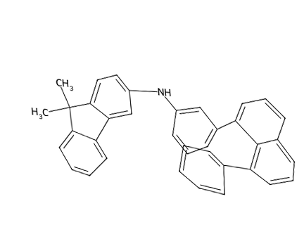 CC1(C)c2ccccc2-c2cc(Nc3cccc(-c4cccc5cccc(-c6ccccc6)c45)c3)ccc21